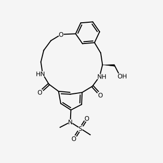 CN(c1cc2cc(c1)C(=O)N[C@H](CO)Cc1cccc(c1)OCCCNC2=O)S(C)(=O)=O